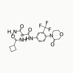 NC(=O)[C@@H](NC(=O)C1CCC1)C(=O)Nc1ccc(N2CCOCC2=O)c(C(F)(F)F)c1